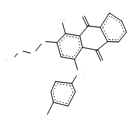 Nc1ccc(Nc2cc(SOOO)c(N)c3c2C(=O)c2ccccc2C3=O)cc1